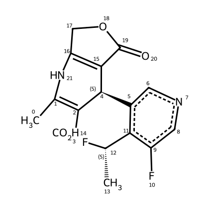 CC1=C(C(=O)O)[C@H](c2cncc(F)c2[C@H](C)F)C2=C(COC2=O)N1